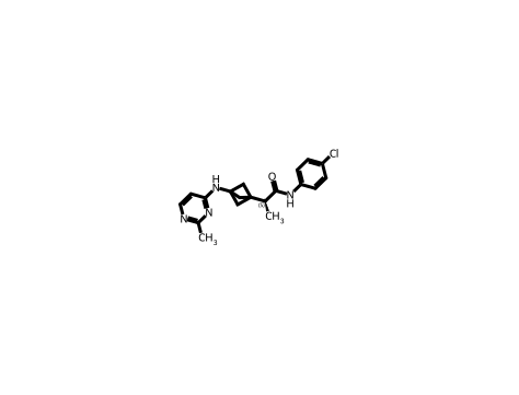 Cc1nccc(NC23CC([C@H](C)C(=O)Nc4ccc(Cl)cc4)(C2)C3)n1